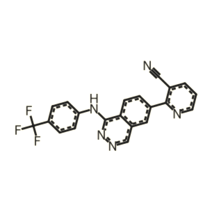 N#Cc1cccnc1-c1ccc2c(Nc3ccc(C(F)(F)F)cc3)nncc2c1